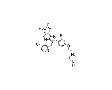 CC1(Oc2ncnc3c2nc(-c2ccc(OCCN4CCNCC4)cc2F)n3Cc2cc(Cl)ccn2)CC1